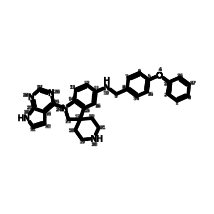 c1ccc(Oc2ccc(CNc3ccc4c(c3)C3(CCNCC3)CN4c3ncnc4[nH]ccc34)cc2)cc1